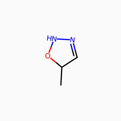 CC1C=NNO1